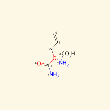 C=CCOC(N)=O.NC(=O)O